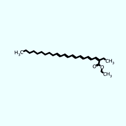 CCCCCCCCCC=CC=CC=CC=CC=CC=C(CC)C(=O)OCC